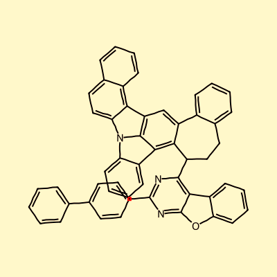 c1ccc(-c2ccc(-c3nc(C4CCc5ccccc5-c5cc6c7c8ccccc8ccc7n7c8ccccc8c(c54)c67)c4c(n3)oc3ccccc34)cc2)cc1